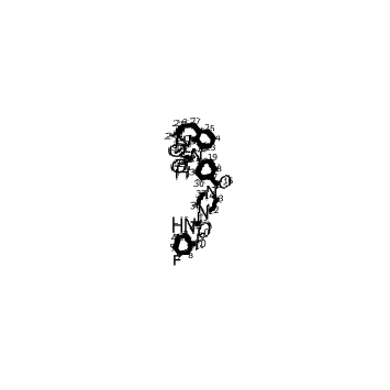 O=C(Nc1ccc(F)cc1F)N1CCN(C(=O)c2ccc(N(c3cccc4cccnc34)[SH](=O)=O)cc2)CC1